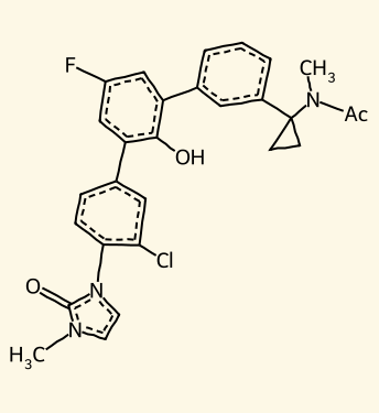 CC(=O)N(C)C1(c2cccc(-c3cc(F)cc(-c4ccc(-n5ccn(C)c5=O)c(Cl)c4)c3O)c2)CC1